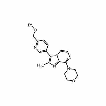 CCOCc1ccc(-c2c(C)nc3c(N4CCOCC4)nccn23)cn1